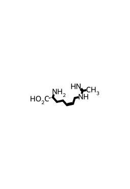 CC(=N)NC/C=C\CC[C@@H](N)C(=O)O